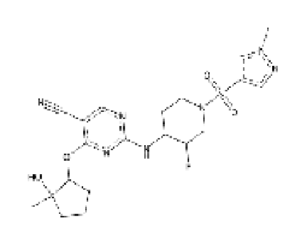 Cn1cc(S(=O)(=O)N2CCC(Nc3ncc(C#N)c(OC4CCCC4(C)O)n3)C(F)C2)cn1